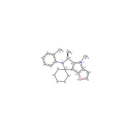 Cc1ccccc1N1[C@@H](C)c2c(c3occc3n2C)C12CCCCC2